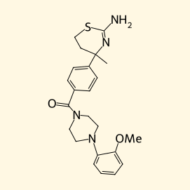 COc1ccccc1N1CCN(C(=O)c2ccc(C3(C)CCSC(N)=N3)cc2)CC1